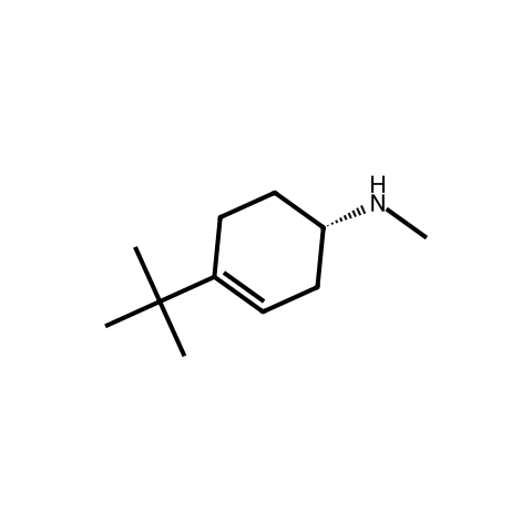 CN[C@@H]1CC=C(C(C)(C)C)CC1